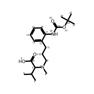 CC(C)C(C(=O)O)N(C)CCCc1ccccc1NC(=O)OC(C)(C)C